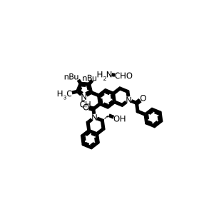 CCCCc1c(CCCC)c(-c2cc3c(cc2C(=O)N2Cc4ccccc4C[C@H]2CO)CN(C(=O)Cc2ccccc2)CC3)n(C)c1C.NC=O